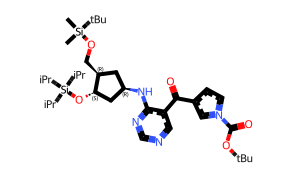 CC(C)[Si](O[C@H]1C[C@H](Nc2ncncc2C(=O)c2ccn(C(=O)OC(C)(C)C)c2)C[C@@H]1CO[Si](C)(C)C(C)(C)C)(C(C)C)C(C)C